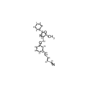 Cc1oc(-c2ccccc2)nc1COc1cccc(/C=C/C=C/C#N)c1